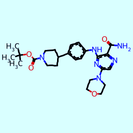 CC(C)(C)OC(=O)N1CCC(c2ccc(Nc3nc(N4CCOCC4)cnc3C(N)=O)cc2)CC1